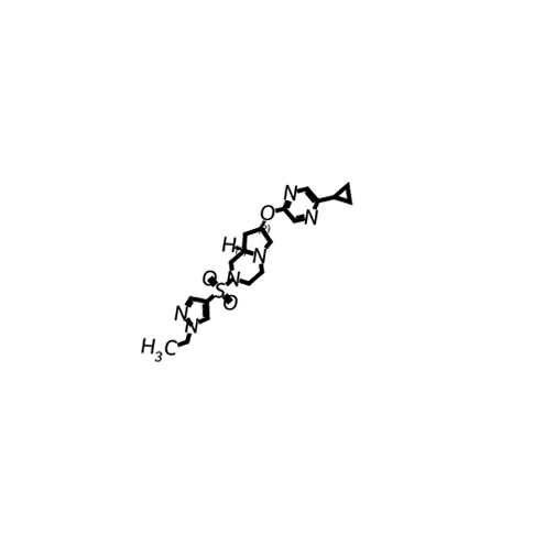 CCn1cc(S(=O)(=O)N2CCN3C[C@H](Oc4cnc(C5CC5)cn4)C[C@H]3C2)cn1